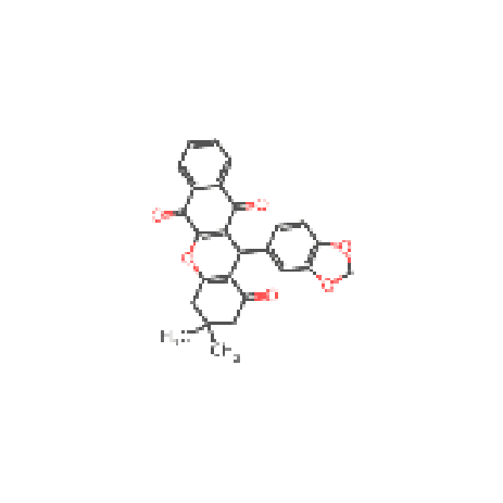 CC1(C)CC(=O)C2=C(C1)OC1=C(C(=O)c3ccccc3C1=O)C2c1ccc2c(c1)OCO2